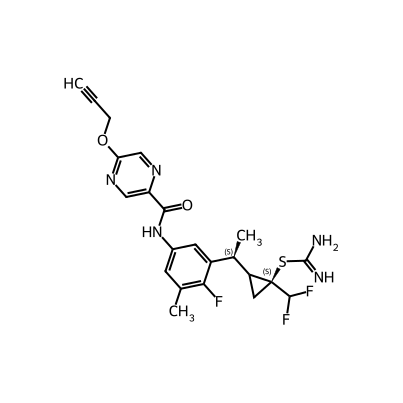 C#CCOc1cnc(C(=O)Nc2cc(C)c(F)c([C@@H](C)C3C[C@@]3(SC(=N)N)C(F)F)c2)cn1